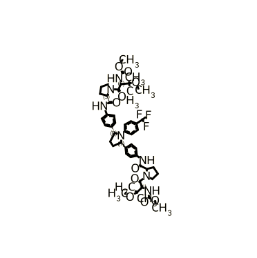 COC(=O)N[C@H](C(=O)N1CCCC1C(=O)Nc1ccc([C@H]2CC[C@H](c3ccc(NC(=O)[C@@H]4CCCN4C(=O)[C@@H](NC(=O)OC)C(C)(C)OC)cc3)N2c2ccc(C(F)(F)F)cc2)cc1)C(C)(C)OC